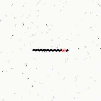 C=COOCCCCCCCCCCCCCCCCCC